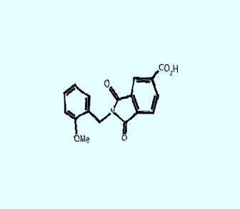 COc1ccccc1CN1C(=O)c2ccc(C(=O)O)cc2C1=O